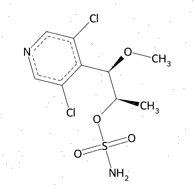 CO[C@H](c1c(Cl)cncc1Cl)[C@@H](C)OS(N)(=O)=O